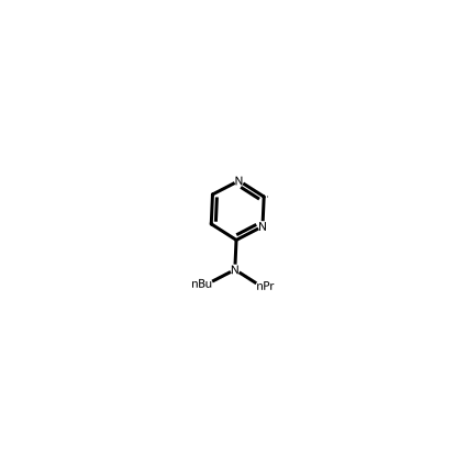 CCCCN(CCC)c1ccn[c]n1